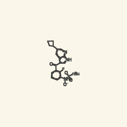 CCCCS(=O)(=O)[NH+]([O-])c1cccc(C(=O)c2c[nH]c3ncc(C4CCC4)cc23)c1F